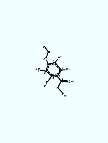 CCOc1c(F)c(F)c(C(=O)CF)c(F)c1F